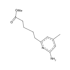 COC(=O)CCCCc1cc(C)cc(N)n1